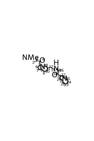 CNC(C)C(=O)c1ccc2ccc(CCNC(C)C(=O)c3cc4ccccn4c3)cn12